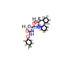 CC1C(=O)N(NC(=O)[C@H](C)NC(=O)COc2ccc(F)cc2)c2ccccc2-c2ccccc21